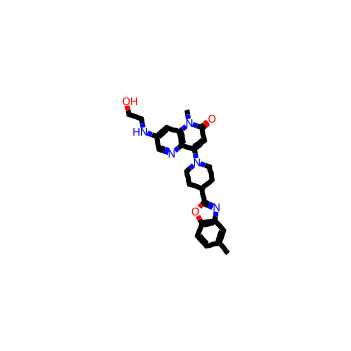 Cc1ccc2oc(C3CCN(c4cc(=O)n(C)c5cc(NCCO)cnc45)CC3)nc2c1